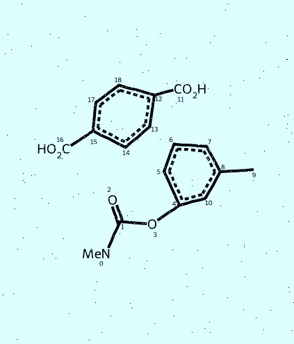 CNC(=O)Oc1cccc(C)c1.O=C(O)c1ccc(C(=O)O)cc1